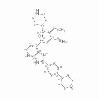 C/C=C(OC1CCNCC1)\C(C#N)=C/C(C)c1ccnc2[nH]c(-c3ccc(N4CCOCC4)cc3)nc12